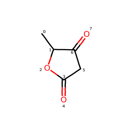 CC1OC(=O)CC1=O